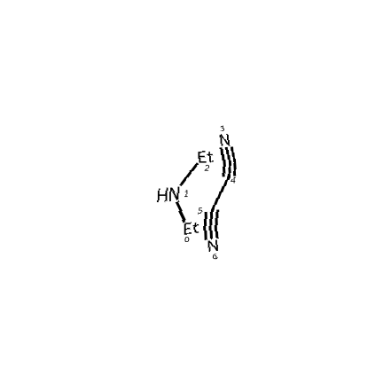 CCNCC.N#CC#N